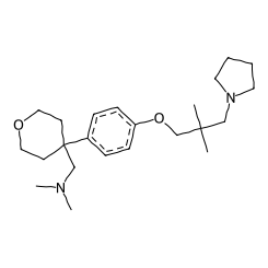 CN(C)CC1(c2ccc(OCC(C)(C)CN3CCCC3)cc2)CCOCC1